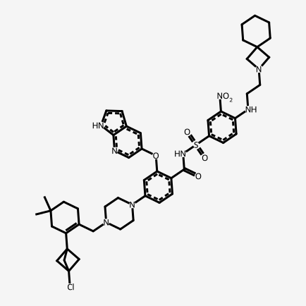 CC1(C)CCC(CN2CCN(c3ccc(C(=O)NS(=O)(=O)c4ccc(NCCN5CC6(CCCCC6)C5)c([N+](=O)[O-])c4)c(Oc4cnc5[nH]ccc5c4)c3)CC2)=C(C23CC(Cl)(C2)C3)C1